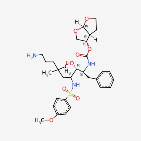 COc1ccc(S(=O)(=O)NC(CC(C)(C)CCCN)[C@H](O)[C@H](Cc2ccccc2)NC(=O)O[C@H]2CO[C@H]3OCC[C@H]32)cc1